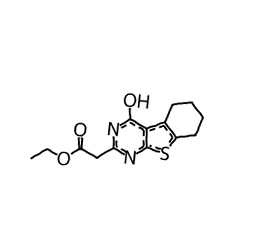 CCOC(=O)Cc1nc(O)c2c3c(sc2n1)CCCC3